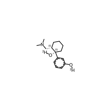 [2H]Oc1cccc([C@]2(O[2H])CCCC[C@H]2CN(C)C)c1